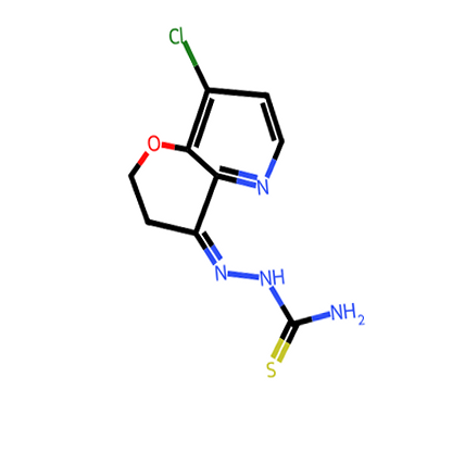 NC(=S)N/N=C1/CCOc2c(Cl)ccnc21